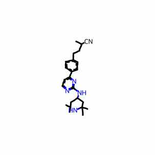 CC(C#N)CCc1ccc(-c2ccnc(NC3CC(C)(C)NC(C)(C)C3)n2)cc1